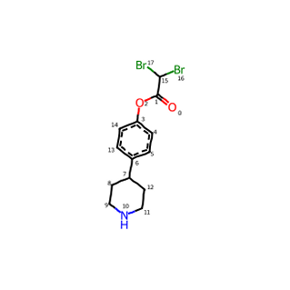 O=C(Oc1ccc(C2CCNCC2)cc1)C(Br)Br